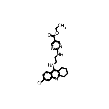 CCOC(=O)c1cnc(NCCNc2c3c(nc4cc(Cl)ccc24)CCCC3)nc1